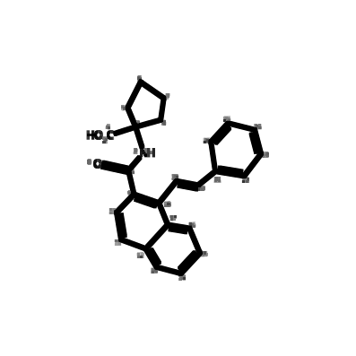 O=C(NC1(C(=O)O)CCCC1)c1ccc2ccccc2c1C=Cc1ccccc1